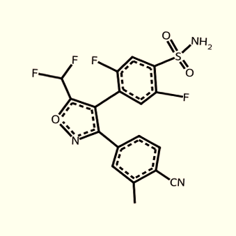 Cc1cc(-c2noc(C(F)F)c2-c2cc(F)c(S(N)(=O)=O)cc2F)ccc1C#N